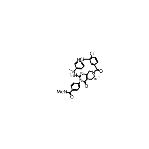 CNC(=O)c1ccc(-n2c(N[C@H](C)c3cccnc3)nc3c(c2=O)C[C@@H](C)N(C(=O)c2ccc(Cl)c(Cl)c2)C3)cc1